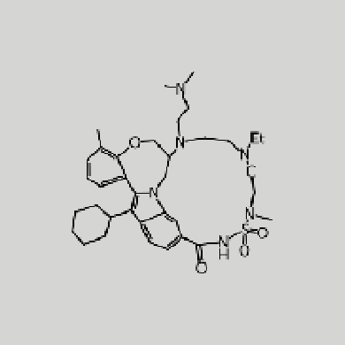 CCN1CCN(CCN(C)C)C2COc3c(C)cccc3-c3c(C4CCCCC4)c4ccc(cc4n3C2)C(=O)NS(=O)(=O)N(C)CC1